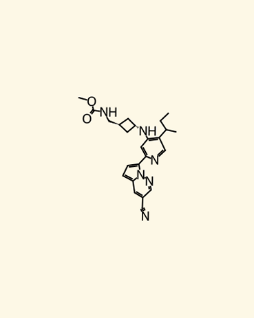 CCC(C)c1cnc(-c2ccc3cc(C#N)cnn23)cc1N[C@H]1C[C@H](CNC(=O)OC)C1